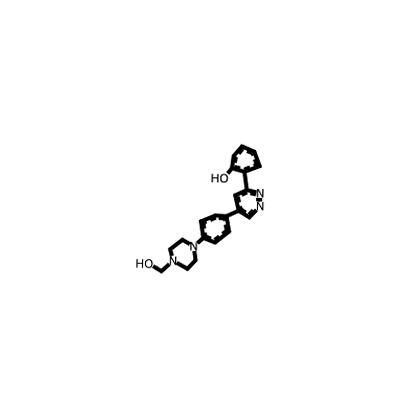 OCN1CCN(c2ccc(-c3cnnc(-c4ccccc4O)c3)cc2)CC1